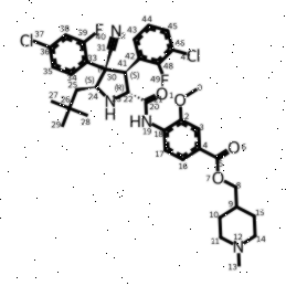 COc1cc(C(=O)OCC2CCN(C)CC2)ccc1NC(=O)[C@@H]1N[C@@H](CC(C)(C)C)[C@](C#N)(c2ccc(Cl)cc2F)[C@H]1c1cccc(Cl)c1F